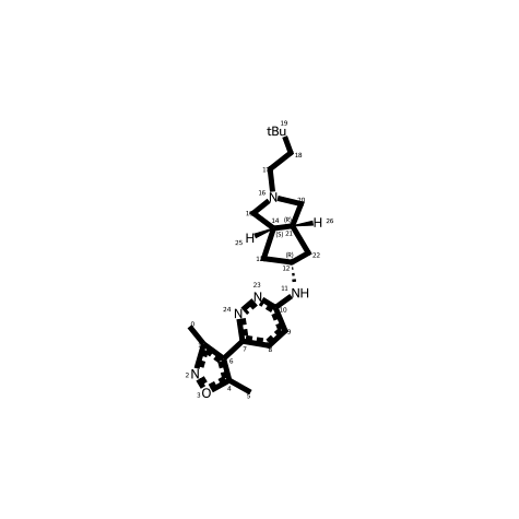 Cc1noc(C)c1-c1ccc(N[C@@H]2C[C@@H]3CN(CCC(C)(C)C)C[C@@H]3C2)nn1